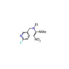 CCN(Cc1ccc(F)nc1)C(=C[N+](=O)[O-])NC